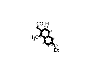 CCOc1ccc2c(C)c(CC(=O)O)ccc2c1